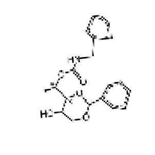 C[C@@H](OC(=O)NCc1ccccc1)[C@@H]1OC(c2ccccc2)OCC1O